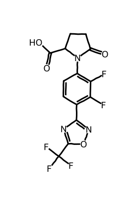 O=C(O)C1CCC(=O)N1c1ccc(-c2noc(C(F)(F)F)n2)c(F)c1F